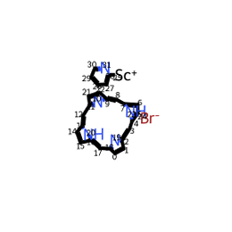 C1=Cc2cc3ccc(cc4nc(cc5ccc(cc1n2)[nH]5)C=C4)[nH]3.[Br-].[Sc+][c]1ccccn1